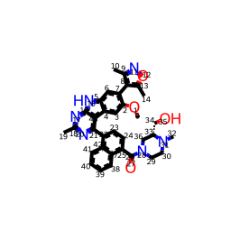 COc1cc2c(cc1-c1c(C)noc1C)[nH]c1nc(C)nc(-c3ccc(C(=O)N4CCN(C)[C@@H](CO)C4)c4ccccc34)c12